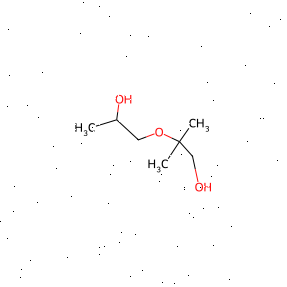 CC(O)COC(C)(C)CO